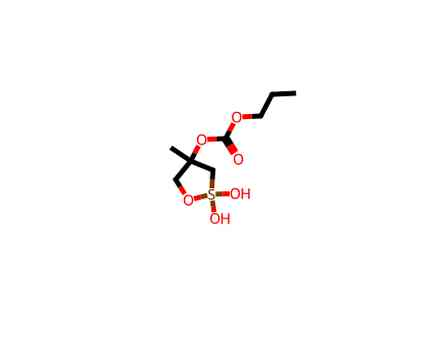 CCCOC(=O)OC1(C)COS(O)(O)C1